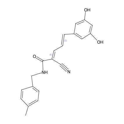 Cc1ccc(CNC(=O)/C(C#N)=C/C=C/c2cc(O)cc(O)c2)cc1